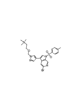 Cc1ccc(S(=O)(=O)n2cc(-c3cnn(COCC[Si](C)(C)C)c3)c3cc(Br)ncc32)cc1